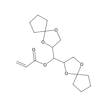 C=CC(=O)OC(C1COC2(CCCC2)O1)C1COC2(CCCC2)O1